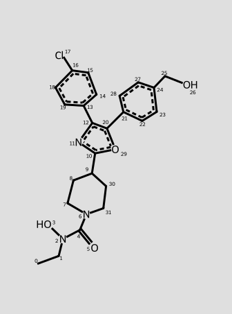 CCN(O)C(=O)N1CCC(c2nc(-c3ccc(Cl)cc3)c(-c3ccc(CO)cc3)o2)CC1